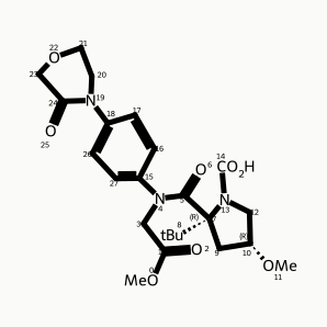 COC(=O)CN(C(=O)[C@]1(C(C)(C)C)C[C@@H](OC)CN1C(=O)O)c1ccc(N2CCOCC2=O)cc1